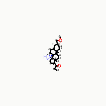 CCC(=O)C1CCC2C1(C)CCC1C3(C)CCC(COC)CC3CCC12N